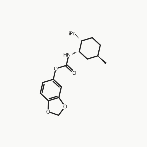 CC(C)[C@@H]1CC[C@@H](C)C[C@@H]1NC(=O)Oc1ccc2c(c1)OCO2